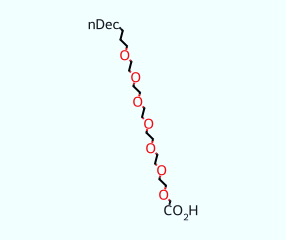 CCCCCCCCCCCCCOCCOCCOCCOCCOCCOCCOCC(=O)O